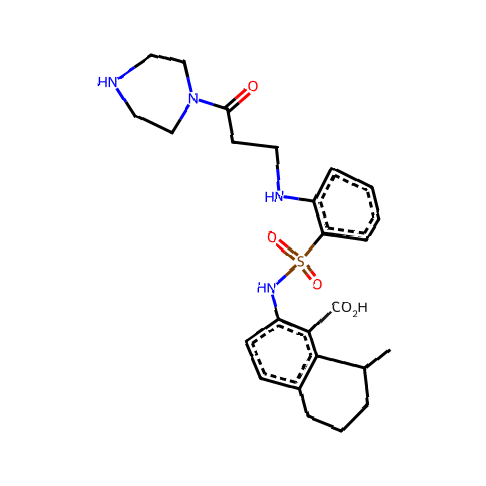 CC1CCCc2ccc(NS(=O)(=O)c3ccccc3NCCC(=O)N3CCNCC3)c(C(=O)O)c21